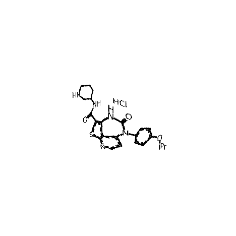 CC(C)Oc1ccc(N2C(=O)Nc3c(C(=O)NC4CCCNC4)sc4nccc2c34)cc1.Cl